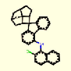 Clc1ccc2ccccc2c1Nc1cccc2c1-c1ccccc1C21C2CC3CC4CC1C2(C3)C4